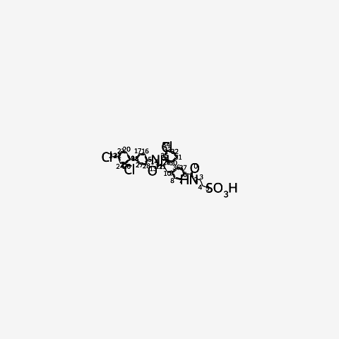 O=C(NCCS(=O)(=O)O)c1ccc(CC(C(=O)Nc2ccc(-c3ccc(Cl)cc3Cl)cc2)c2cccc(Cl)c2)cc1